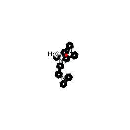 C/C=C\C(=C/C)N(c1ccc(-c2cccc(-n3c4ccccc4c4ccccc43)c2)cc1)c1ccc(-c2ccccc2-n2c3ccccc3c3ccccc32)cc1